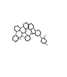 Cc1ccc(-c2ccc3c4ccccc4n(-c4cccc5c4C(=O)N(c4c(-c6ccccc6)cccc4-c4ccccc4)C5=O)c3c2)c(C)c1